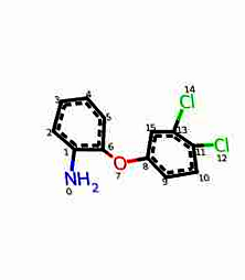 Nc1ccccc1Oc1ccc(Cl)c(Cl)c1